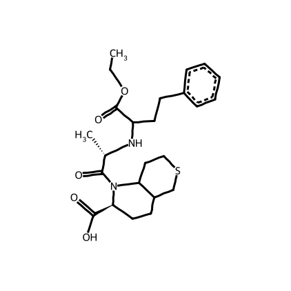 CCOC(=O)C(CCc1ccccc1)N[C@@H](C)C(=O)N1C2CCSCC2CC[C@H]1C(=O)O